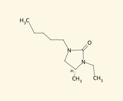 CCCCCN1C[C@@H](C)N(CC)C1=O